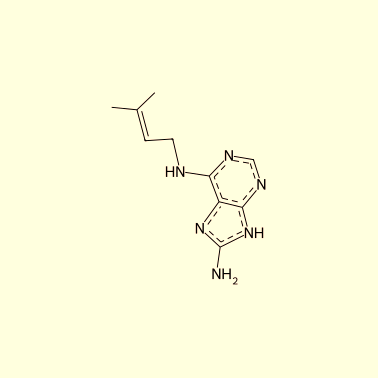 CC(C)=CCNc1ncnc2[nH]c(N)nc12